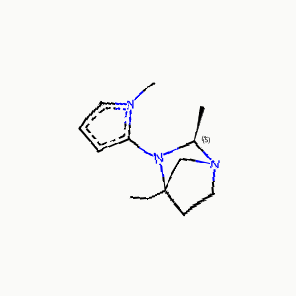 C[C@H]1N2CCC(C)(C2)N1c1cccn1C